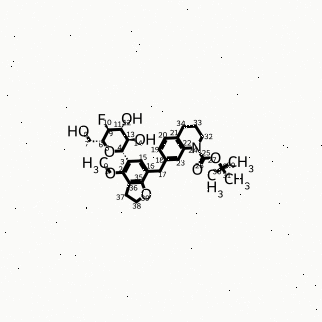 COc1c([C@@H]2O[C@H](CO)[C@@H](F)[C@H](O)[C@H]2O)cc(Cc2ccc3c(c2)N(C(=O)OC(C)(C)C)CCC3)c2c1CCO2